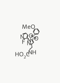 COc1cccc(S(=O)(=O)c2cc(CCNC(=O)O)nn2-c2cccnc2F)c1